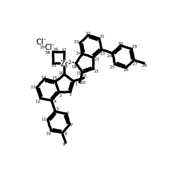 CC1=Cc2c(-c3ccc(C)cc3)cccc2[CH]1[Zr+2]1([CH]2C(C)=Cc3c(-c4ccc(C)cc4)cccc32)[CH2]C[CH2]1.[Cl-].[Cl-]